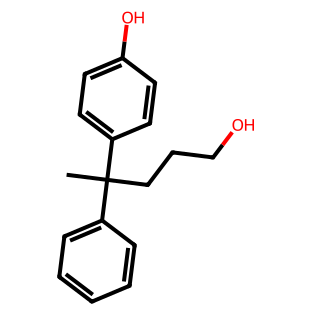 CC(CCCO)(c1ccccc1)c1ccc(O)cc1